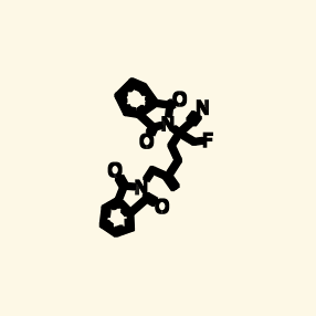 C=C(CCC(C#N)(CF)N1C(=O)c2ccccc2C1=O)CN1C(=O)c2ccccc2C1=O